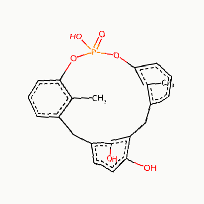 Cc1c2cccc1OP(=O)(O)Oc1cccc(c1C)Cc1c(O)ccc(c1O)C2